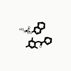 Cc1cc(C)c(CC(=O)c2ccccc2)c(C)c1.O=[SH](=NO)Oc1ccc2ccccc2c1